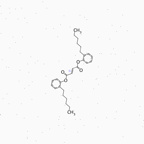 CCCCCCc1ccccc1OC(=O)/C=C/C(=O)Oc1ccccc1CCCCCC